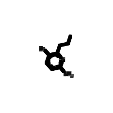 CCCc1nc(N)ccc1Br